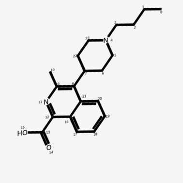 CCCCN1CCC(c2c(C)nc(C(=O)O)c3ccccc23)CC1